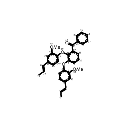 CC=Cc1ccc(Oc2cccc(C(=O)c3ccccc3)c2Oc2ccc(C=CC)cc2OC)c(OC)c1